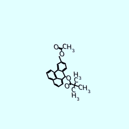 CC(=O)OCc1ccc2c(c1)-c1cccc3cccc(c13)C2OC(=O)C(C)(C)C